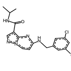 CC(C)NC(=O)c1cnn2ccc(NCc3cc(Cl)cc(Cl)c3)nc12